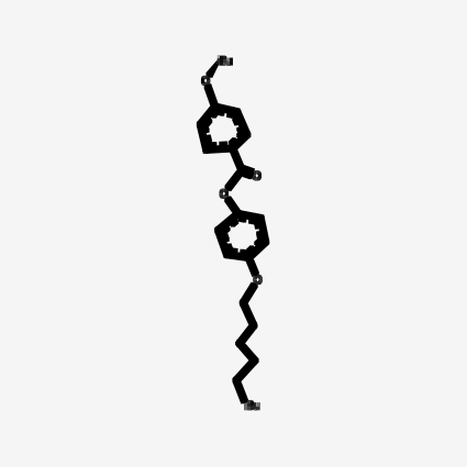 CCC(C)CCCCCOc1ccc(OC(=O)c2ccc(O[C@H](C)CC)cc2)cc1